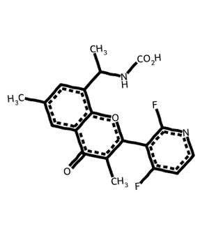 Cc1cc(C(C)NC(=O)O)c2oc(-c3c(F)ccnc3F)c(C)c(=O)c2c1